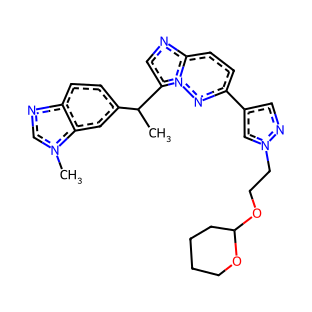 CC(c1ccc2ncn(C)c2c1)c1cnc2ccc(-c3cnn(CCOC4CCCCO4)c3)nn12